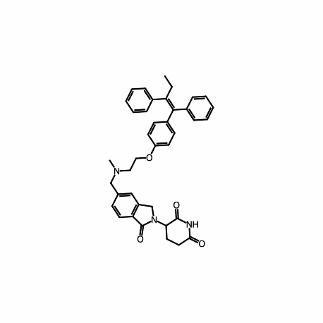 CC/C(=C(\c1ccccc1)c1ccc(OCCN(C)Cc2ccc3c(c2)CN(C2CCC(=O)NC2=O)C3=O)cc1)c1ccccc1